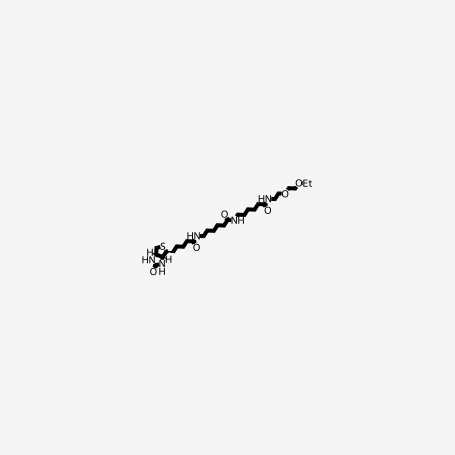 CCOCCOCCNC(=O)CCCCCNC(=O)CCCCCNC(=O)CCCC[C@@H]1SC[C@@H]2NC(=O)N[C@@H]21